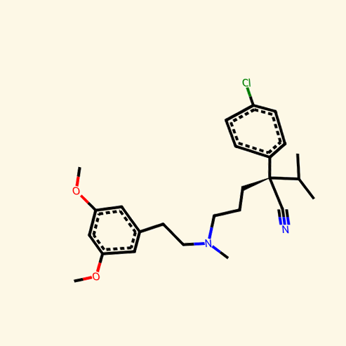 COc1cc(CCN(C)CCC[C@@](C#N)(c2ccc(Cl)cc2)C(C)C)cc(OC)c1